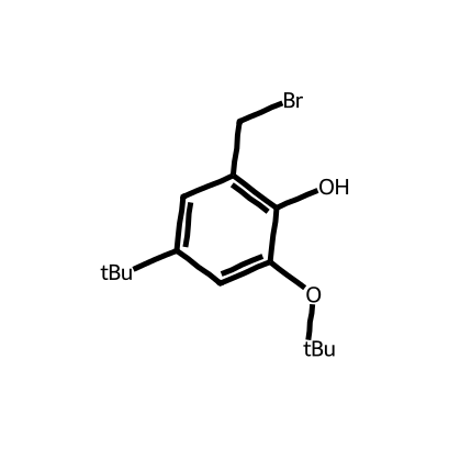 CC(C)(C)Oc1cc(C(C)(C)C)cc(CBr)c1O